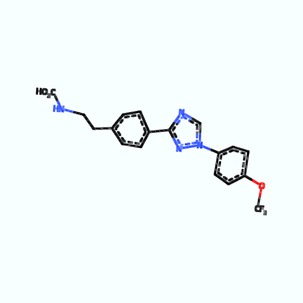 O=C(O)NCCc1ccc(-c2ncn(-c3ccc(OC(F)(F)F)cc3)n2)cc1